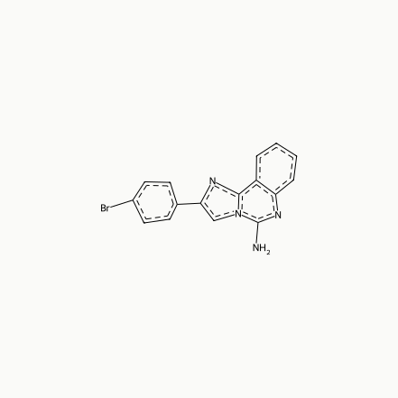 Nc1nc2ccccc2c2nc(-c3ccc(Br)cc3)cn12